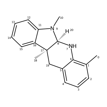 Cc1cccc2c1N[C@@H]1N(C)c3ccccc3[C@]1(C)C2